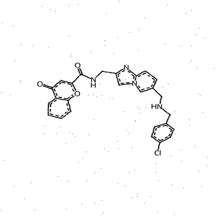 O=C(NCc1cn2cc(CNCc3ccc(Cl)cc3)ccc2n1)c1cc(=O)c2ccccc2o1